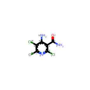 NC(=O)c1c(Cl)nc(Cl)c(Cl)c1N